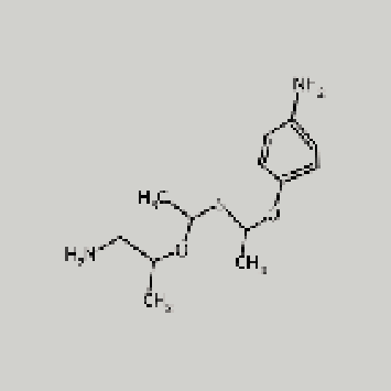 CC(CN)OC(C)SC(C)Oc1ccc(N)cc1